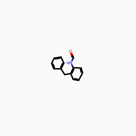 O=CNc1[c]cccc1Cc1ccccc1